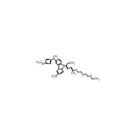 CCOCCOCCO/C(C)=C/C=C(\CC)N1c2ccc(N(C)c3ccc(OC)cc3)cc2C2C=C(N)C=CC21